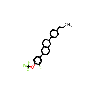 CCCC1CCC(C2CCC3CC(c4ccc(OC(F)(F)F)c(F)c4)CCC3C2)CC1